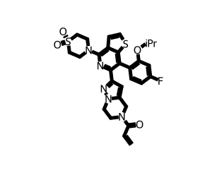 C=CC(=O)N1CCn2nc(-c3nc(N4CCS(=O)(=O)CC4)c4ccsc4c3-c3ccc(F)cc3OC(C)C)cc2C1